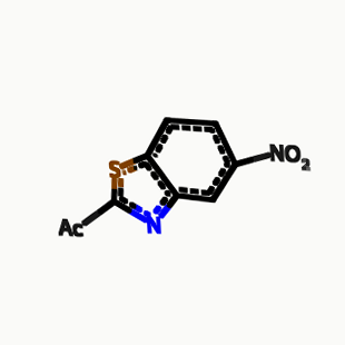 CC(=O)c1nc2cc([N+](=O)[O-])ccc2s1